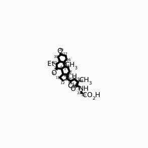 CC[C@H]1C(=O)C2C(CC[C@@]3(C)C2CC[C@@H]3[C@H](C)C[C@H](C)C(=O)NCC(=O)O)[C@@]2(C)CCC(=O)CC12